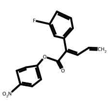 C=CC=C(C(=O)Oc1ccc([N+](=O)[O-])cc1)c1cccc(F)c1